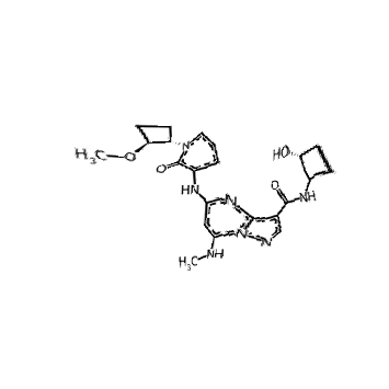 CNc1cc(Nc2cccn([C@H]3CC[C@@H]3OC)c2=O)nc2c(C(=O)NC3CC[C@H]3O)cnn12